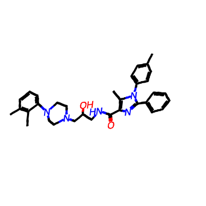 Cc1ccc(-n2c(-c3ccccc3)nc(C(=O)NCC(O)CN3CCN(c4cccc(C)c4C)CC3)c2C)cc1